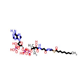 CCCCCCCCC(=O)SCCNC(=O)CCNC(=O)[C@H](O)C(C)(C)COP(=O)(O)OP(=O)(O)OC[C@H]1O[C@@H](n2cnc3c(N)ncnc32)[C@H](O)[C@@H]1OP(=O)(O)O